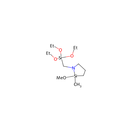 CCO[Si](CN1CCC[Si]1(C)OC)(OCC)OCC